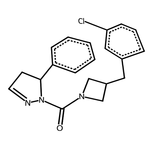 O=C(N1CC(Cc2cccc(Cl)c2)C1)N1N=CCC1c1ccccc1